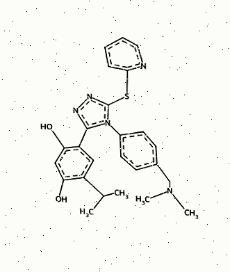 CC(C)c1cc(-c2nnc(Sc3ccccn3)n2-c2ccc(CN(C)C)cc2)c(O)cc1O